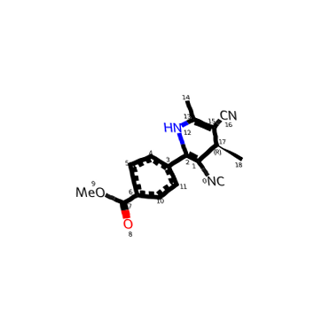 [C-]#[N+]C1=C(c2ccc(C(=O)OC)cc2)NC(C)=C(C#N)[C@H]1C